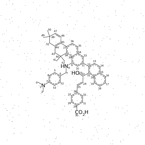 CN(C)c1ccc(CNc2cc(-c3ccc4ccccc4c3C(O)C=Cc3ccc(C(=O)O)cc3)cc3ccc4c(c23)C(C)(C)CC2=C4C=CC(C)(C)C2)cc1